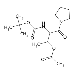 CC(=O)OC(C)C(NC(=O)OC(C)(C)C)C(=O)N1CCCC1